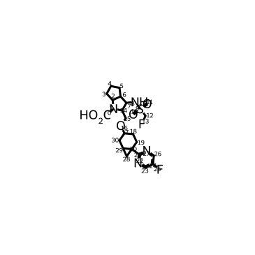 O=C(O)N1C2CCCC2C(NS(=O)(=O)CF)C1COC1CCC2(c3ncc(F)cn3)CC2C1